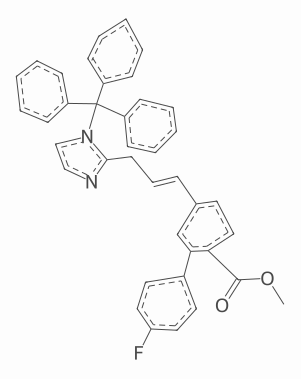 COC(=O)c1ccc(/C=C/Cc2nccn2C(c2ccccc2)(c2ccccc2)c2ccccc2)cc1-c1ccc(F)cc1